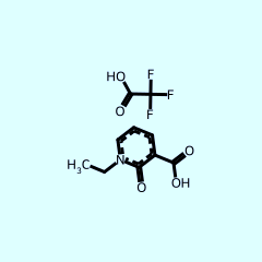 CCn1cccc(C(=O)O)c1=O.O=C(O)C(F)(F)F